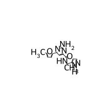 Cc1ccc(-c2cc(C(=O)NC(C)c3ccn[nH]3)nc(N)n2)o1